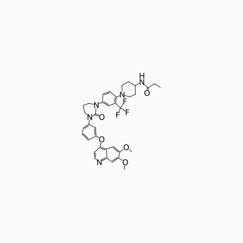 CCC(=O)NC1CCN(c2ccc(N3CCCN(c4cccc(Oc5ccnc6cc(OC)c(OC)cc56)c4)C3=O)cc2C(F)(F)F)CC1